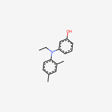 CCN(c1cccc(O)c1)c1ccc(C)cc1C